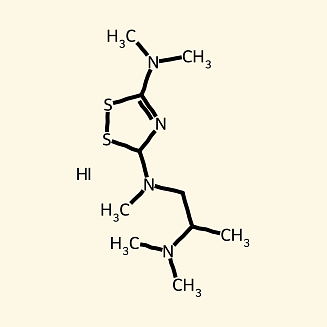 CC(CN(C)C1N=C(N(C)C)SS1)N(C)C.I